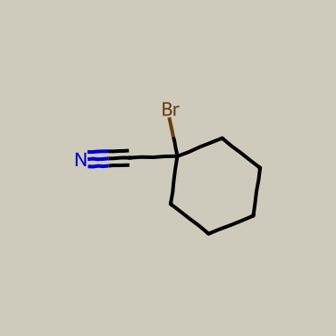 N#CC1(Br)CCCCC1